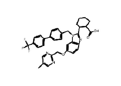 Cc1cnc(COc2ccc3nc(C4CCCCC4C(=O)O)n(Cc4ccc(-c5ccc(C(F)(F)F)cc5)cc4)c3c2)nc1